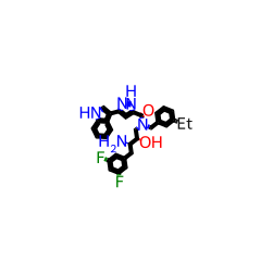 CCc1cccc(CN(C[C@@H](O)[C@@H](N)Cc2cc(F)cc(F)c2)C(=O)c2cc(-c3c[nH]c4ccccc34)n[nH]2)c1